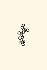 c1ccc2c(c1)ccc1c3c4c5ccccc5n(-c5ccc6c7c(cccc57)-c5nc7ccccc7nc5-6)c4cc4c5ccccc5n(c21)c43